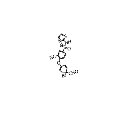 N#Cc1cc(S(=O)(=O)Nc2nccs2)ccc1OC1=CCC(Br)(C=O)C=C1